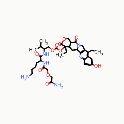 CCc1c2c(nc3ccc(O)cc13)C1CC3C(COC(=O)C3(CC)OC(=O)OCC(NC(=O)C(CCCCN)NC(=O)COCC(N)=O)C(C)C)C(=O)N1C2